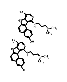 Cc1cnc(NCCCN(C)C)c2c1[nH]c1ccc3cc(O)ccc3c12.Cc1cnc(NCCCN(C)C)c2c1[nH]c1ccc3cc(O)ccc3c12